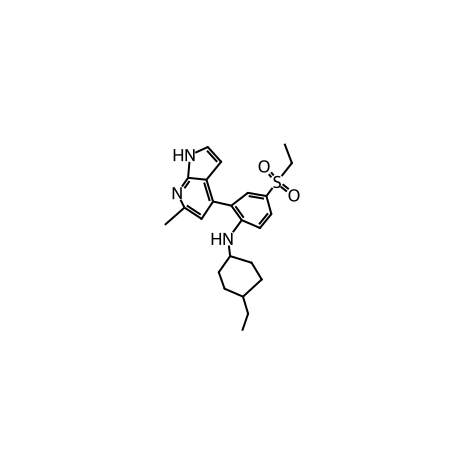 CCC1CCC(Nc2ccc(S(=O)(=O)CC)cc2-c2cc(C)nc3[nH]ccc23)CC1